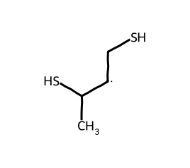 CC(S)[CH]CS